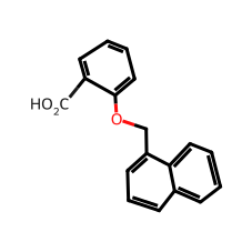 O=C(O)c1ccccc1OCc1cccc2ccccc12